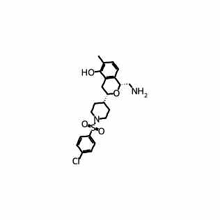 Cc1ccc2c(c1O)C[C@@H](C1CCN(S(=O)(=O)c3ccc(Cl)cc3)CC1)O[C@H]2CN